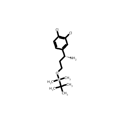 CC(C)(C)[Si](C)(C)OCC[C@@H](N)c1ccc(Cl)c(Cl)c1